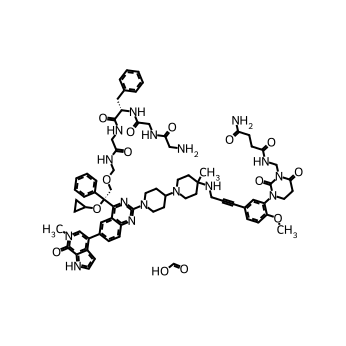 COc1ccc(C#CCNC2(C)CCN(C3CCN(c4nc([C@@](COCNC(=O)CNC(=O)[C@H](Cc5ccccc5)NC(=O)CNC(=O)CN)(OC5CC5)c5ccccc5)c5cc(-c6cn(C)c(=O)c7[nH]ccc67)ccc5n4)CC3)CC2)cc1N1CCC(=O)N(CNC(=O)CCC(N)=O)C1=O.O=CO